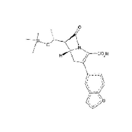 C[C@@H](O[Si](C)(C)C)[C@H]1C(=O)N2C(C(=O)O)=C(c3ccc4occc4c3)C[C@H]12